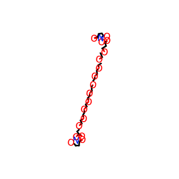 O=C(CCOCCOCCOCCOCCOCCOCCOCCOCCOCCOCCC(=O)ON1C(=O)CCC1=O)ON1C(=O)CCC1=O